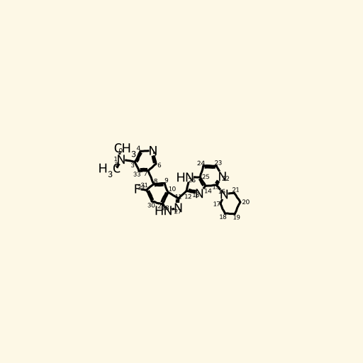 CN(C)c1cncc(-c2cc3c(-c4nc5c(N6CCCCC6)nccc5[nH]4)n[nH]c3cc2F)c1